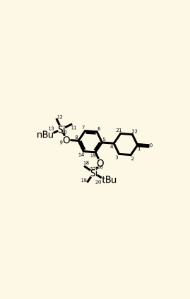 C=C1CCC(c2ccc(O[Si](C)(C)CCCC)cc2O[Si](C)(C)C(C)(C)C)CC1